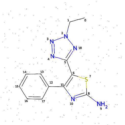 CCn1nnc(-c2sc(N)nc2-c2ccccc2)n1